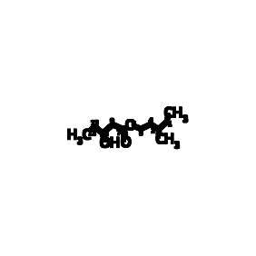 CCC(C)CCOC(=O)CC(O)CC